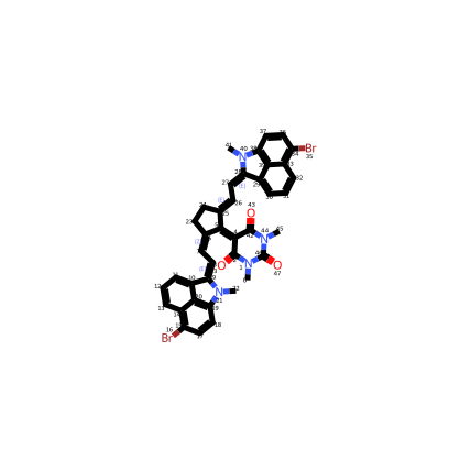 CN1C(=O)C(=C2/C(=C\C=c3/c4cccc5c(Br)ccc(c54)n3C)CC/C2=C\C=c2/c3cccc4c(Br)ccc(c43)n2C)C(=O)N(C)C1=O